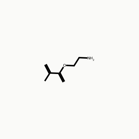 C=C(C)C(=C)OCCN